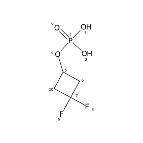 O=P(O)(O)OC1CC(F)(F)C1